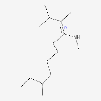 CCC(C)CCCC/C(NC)=C(/C)C(C)C